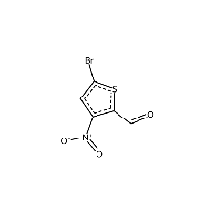 O=Cc1sc(Br)cc1[N+](=O)[O-]